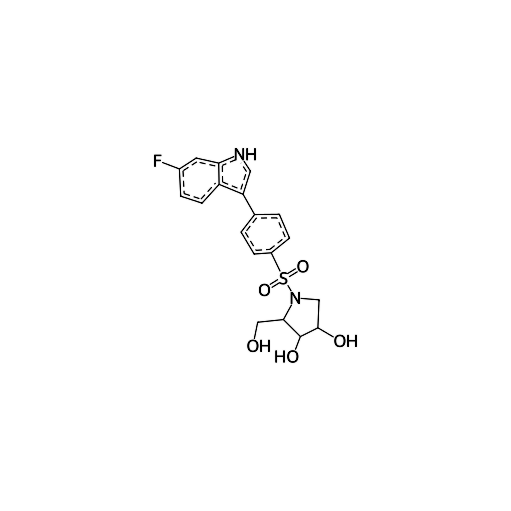 O=S(=O)(c1ccc(-c2c[nH]c3cc(F)ccc23)cc1)N1CC(O)C(O)C1CO